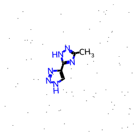 Cc1n[nH]c(-c2c[nH]nn2)n1